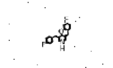 O=C1/C(=C\c2ccc(F)cc2)CNC/C1=C\c1ccc(F)cc1